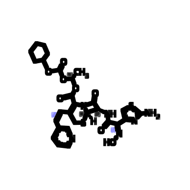 C[C@H](OC(=O)OC1CCCCC1)OC(=O)C1=C(/C=C\c2cccnc2)CS[C@@H]2[C@H](NC(=O)/C(=N\O)c3csc(N)n3)C(=O)N12